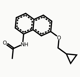 CC(=O)Nc1cccc2ccc(OCC3CC3)cc12